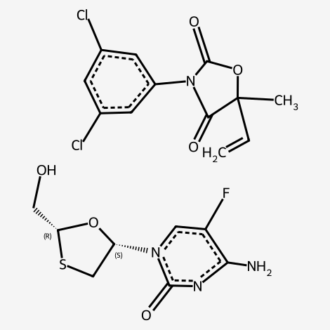 C=CC1(C)OC(=O)N(c2cc(Cl)cc(Cl)c2)C1=O.Nc1nc(=O)n([C@@H]2CS[C@H](CO)O2)cc1F